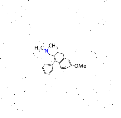 COc1ccc2c(c1)CCC(CN(C)C)=C2c1ccccc1